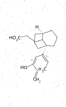 C=C/C(O)=C\C(=C/C)[C@]12CCC[C@H](CCC1)C2CCC(=O)O